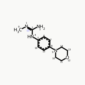 C/N=C(/N)Nc1ccc(N2CCOCC2)cc1